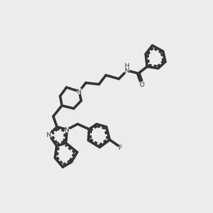 O=C(NCCCCN1CCC(Cc2nc3ccccc3n2Cc2ccc(F)cc2)CC1)c1ccccc1